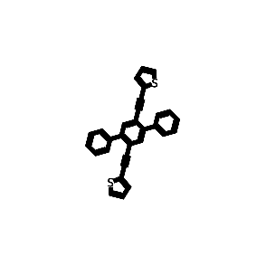 C(#Cc1cc(-c2ccccc2)c(C#Cc2cccs2)cc1-c1ccccc1)c1cccs1